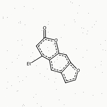 CCc1cc(=O)oc2cc3occc3cc12